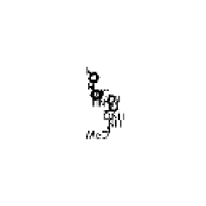 COCCNC(=O)Nc1cn2ncc(C#N)c(Nc3ccc(Oc4cccc(I)c4)cc3)c2c1C